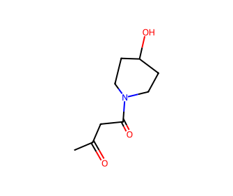 CC(=O)CC(=O)N1CCC(O)CC1